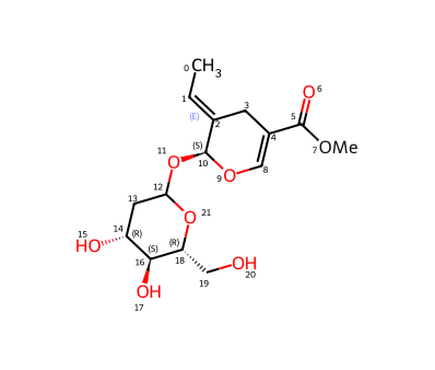 C/C=C1\CC(C(=O)OC)=CO[C@H]1OC1C[C@@H](O)[C@H](O)[C@@H](CO)O1